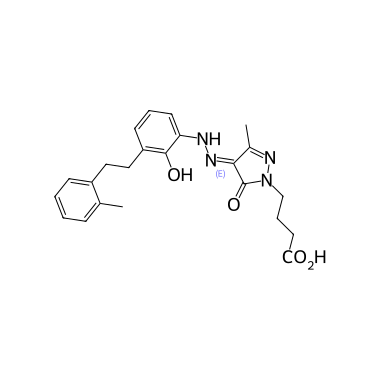 CC1=NN(CCCC(=O)O)C(=O)/C1=N/Nc1cccc(CCc2ccccc2C)c1O